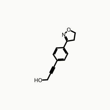 OCC#Cc1ccc(C2=NOCC2)cc1